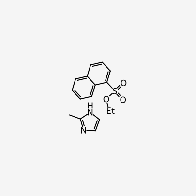 CCOS(=O)(=O)c1cccc2ccccc12.Cc1ncc[nH]1